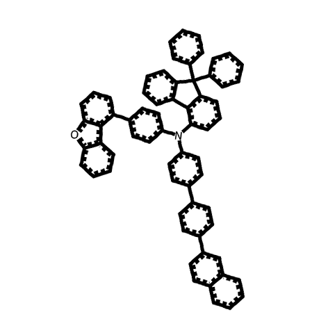 c1ccc(C2(c3ccccc3)c3ccccc3-c3c(N(c4ccc(-c5ccc(-c6ccc7ccccc7c6)cc5)cc4)c4ccc(-c5cccc6oc7ccccc7c56)cc4)cccc32)cc1